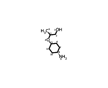 CC(CO)O[C@H]1CC[C@H](N)CC1